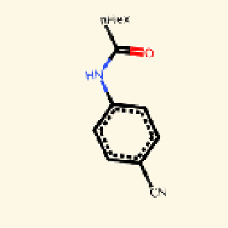 CCCCCCC(=O)Nc1ccc(C#N)cc1